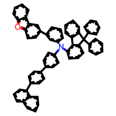 c1ccc(C2(c3ccccc3)c3ccccc3-c3c(N(c4ccc(-c5ccc(-c6cccc7ccccc67)cc5)cc4)c4cccc(-c5ccc6oc7ccccc7c6c5)c4)cccc32)cc1